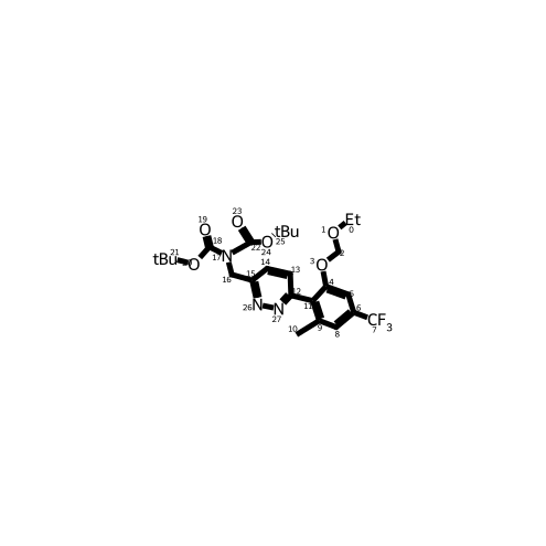 CCOCOc1cc(C(F)(F)F)cc(C)c1-c1ccc(CN(C(=O)OC(C)(C)C)C(=O)OC(C)(C)C)nn1